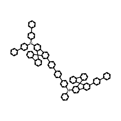 c1ccc(-c2ccc(-c3ccc4c(c3)C3(c5ccccc5-c5ccccc53)c3cc(N(c5ccccc5)c5ccc(-c6ccc(-c7ccc(-c8ccc9c(c8)C8(c%10ccccc%10-c%10ccccc%108)c8cc(N(c%10ccc(-c%11ccccc%11)cc%10)c%10ccc(-c%11ccccc%11)cc%10)ccc8-9)cc7)cc6)cc5)ccc3-4)cc2)cc1